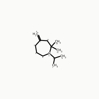 C=C1CCCN(C(C)C)C(C)(C)C1